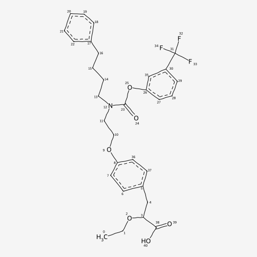 CCOC(Cc1ccc(OCCN(CCCCc2ccccc2)C(=O)Oc2cccc(C(F)(F)F)c2)cc1)C(=O)O